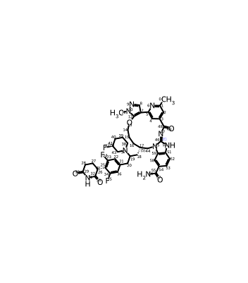 Cc1cc2cc(n1)-c1cnn(C)c1OCCC[C@@H](CC(Cc1cc(F)c([C@H]3CCC(=O)NC3=O)c(F)c1)N1CCC[C@H](F)C1)CN1/C(=N/C2=O)Nc2ccc(C(N)=O)cc21